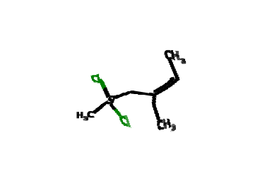 CC=C(C)C[Si](C)(Cl)Cl